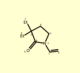 C=CN1CCC(CC)(CC)C1=O